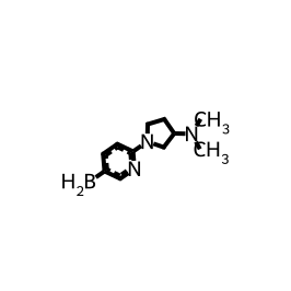 Bc1ccc(N2CCC(N(C)C)C2)nc1